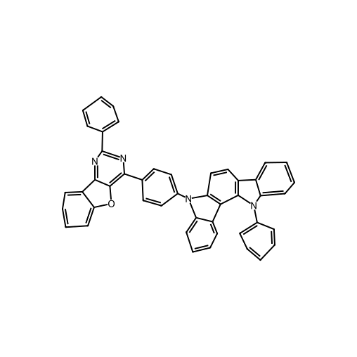 c1ccc(-c2nc(-c3ccc(-n4c5ccccc5c5c4ccc4c6ccccc6n(-c6ccccc6)c45)cc3)c3oc4ccccc4c3n2)cc1